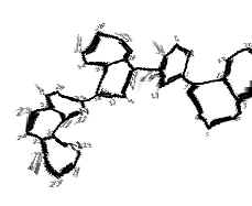 c1cc(-c2cccc3ccccc23)cc(-c2ccc(-c3ccc4ccc5cccnc5c4n3)c3ccccc23)c1